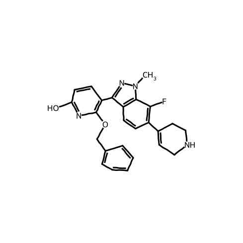 Cn1nc(-c2ccc(O)nc2OCc2ccccc2)c2ccc(C3=CCNCC3)c(F)c21